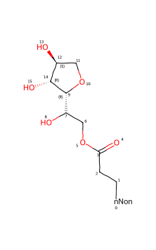 CCCCCCCCCCCC(=O)OCC(O)[C@H]1OC[C@H](O)[C@H]1O